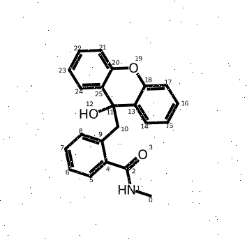 CNC(=O)c1ccccc1CC1(O)c2ccccc2Oc2ccccc21